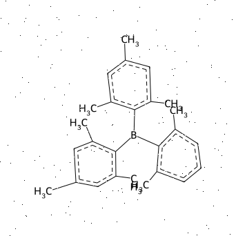 Cc1cc(C)c(B(c2c(C)cccc2C)c2c(C)cc(C)cc2C)c(C)c1